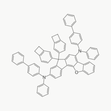 c1ccc(-c2ccc(N(c3ccccc3)c3ccc4c(c3)C(c3ccc5c(c3)CC5)(c3ccc5c(c3)CC5)c3cc(N(c5ccccc5)c5ccc(-c6ccccc6)cc5)c5c(oc6ccccc65)c3-4)cc2)cc1